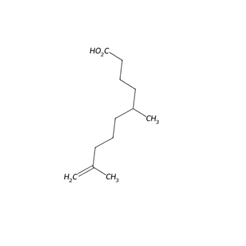 C=C(C)CCCC(C)CCCC(=O)O